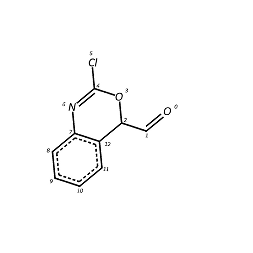 O=CC1OC(Cl)=Nc2ccccc21